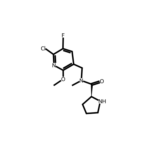 COc1nc(Cl)c(F)cc1CN(C)C(=O)[C@@H]1CCCN1